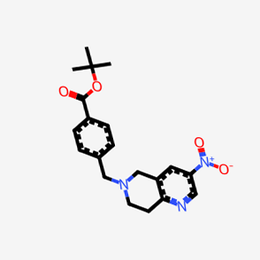 CC(C)(C)OC(=O)c1ccc(CN2CCc3ncc([N+](=O)[O-])cc3C2)cc1